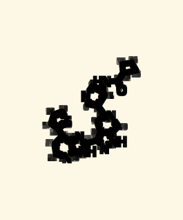 O=C(Nc1cncc(-c2cc3c(-c4nc5c(-c6cccs6)ccnc5[nH]4)n[nH]c3cn2)c1)C1CCC1